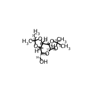 CC1(C)O[C@H]2[C@H](O1)[C@H]1OC(C)(C)OC1O[C@@H]2CO